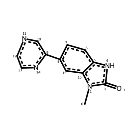 Cn1c(=O)[nH]c2ccc(-c3cnccn3)cc21